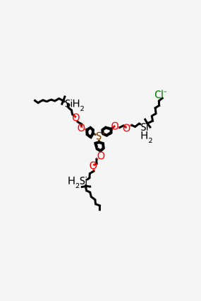 CCCCCCCC(C)(C)[SiH2]CCCOCCOc1ccc([S+](c2ccc(OCCOCCC[SiH2]C(C)(C)CCCCCCC)cc2)c2ccc(OCCOCCC[SiH2]C(C)(C)CCCCCCC)cc2)cc1.[Cl-]